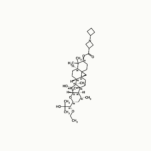 CCO[C@@H]([C@H]1C[C@@H](C)[C@H]2[C@H](O1)[C@H](O)[C@@]1(C)[C@@H]3CC[C@H]4C(C)(C)[C@@H](OC(=O)C5CN(C6CCC6)C5)CCC45C[C@@]35CC[C@]21C)C(C)(C)O